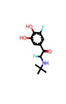 CC(C)(C)NC(F)C(=O)c1cc(O)c(O)c(F)c1